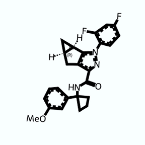 COc1cccc(C2(NC(=O)c3nn(-c4ccc(F)cc4F)c4c3C[C@H]3C[C@@H]43)CCC2)c1